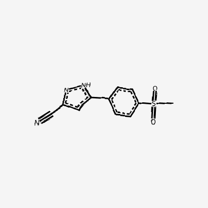 CS(=O)(=O)c1ccc(-c2cc(C#N)n[nH]2)cc1